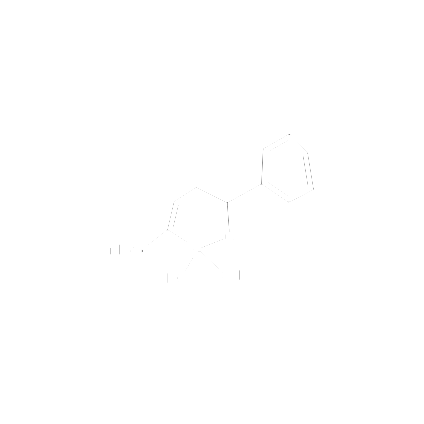 CCCCCCC1=CCC(c2ccccc2)O[Si]1(C)C